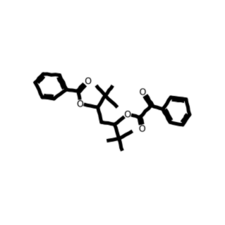 CC(C)(C)C(CC(OC(=O)c1ccccc1)C(C)(C)C)OC(=O)C(=O)c1ccccc1